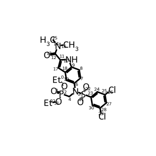 CCOP(=O)(CN(c1ccc2[nH]c(C(=O)N(C)C)cc2c1)S(=O)(=O)c1cc(Cl)cc(Cl)c1)OCC